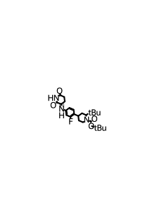 CC(C)(C)OC(=O)N1CCC(c2ccc(N[C@@H]3CCC(=O)NC3=O)cc2F)CC1C(C)(C)C